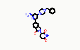 Nc1cc(N2CCN(Cc3ccccc3)CC2)cc(-c2ccc3c(c2)CN(C2CCC(=O)NC2=O)C3=O)n1